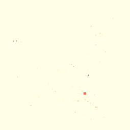 C#Cc1c(F)ccc2cc(OCOC)cc(-c3nc(OC)c4c(N5C[C@H]6CC[C@@H](C5)N6C(=O)OC(C)(C)C)nc(OCC5(CN6CC7CC7C6)CC5)nc4c3F)c12